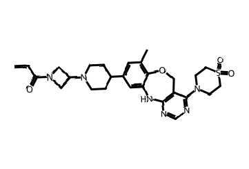 C=CC(=O)N1CC(N2CCC(c3cc(C)c4c(c3)Nc3ncnc(N5CCS(=O)(=O)CC5)c3CO4)CC2)C1